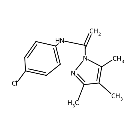 C=C(Nc1ccc(Cl)cc1)n1nc(C)c(C)c1C